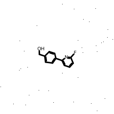 OCc1ccc(-c2cccc(F)n2)cc1